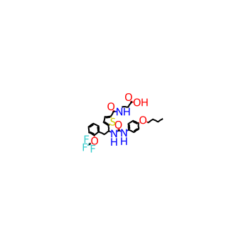 CCCCOc1ccc(NC(=O)NC(Cc2ccccc2OC(F)(F)F)c2ccc(C(=O)NCCC(=O)O)s2)cc1